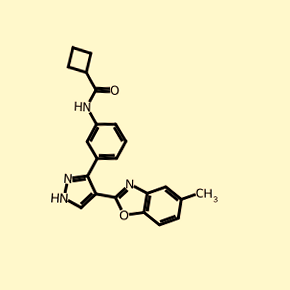 Cc1ccc2oc(-c3c[nH]nc3-c3cccc(NC(=O)C4CCC4)c3)nc2c1